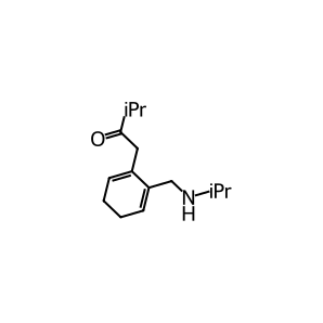 CC(C)NCC1=CCCC=C1CC(=O)C(C)C